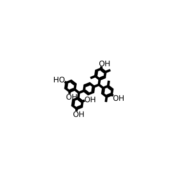 Cc1cc(C(c2ccc(C(c3ccc(O)cc3O)c3ccc(O)cc3O)cc2)c2cc(C)c(O)cc2C)c(C)cc1O